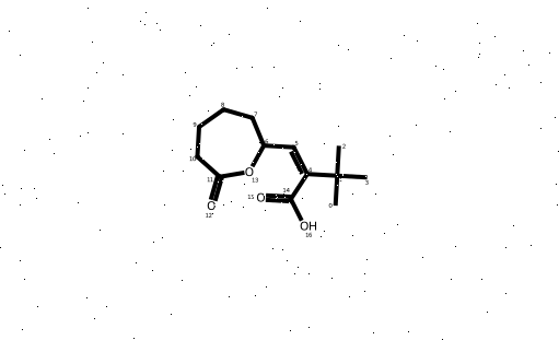 CC(C)(C)C(=CC1CCCCC(=O)O1)C(=O)O